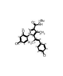 CC[C@@H](C)NC(=O)c1nn(-c2ccc(Cl)cc2Cl)c(C(C)=Cc2ccc(Cl)cc2)c1C